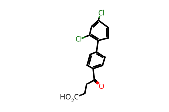 O=C(O)CCC(=O)c1ccc(-c2ccc(Cl)cc2Cl)cc1